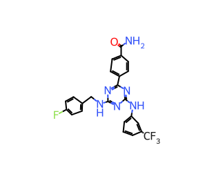 NC(=O)c1ccc(-c2nc(NCc3ccc(F)cc3)nc(Nc3cccc(C(F)(F)F)c3)n2)cc1